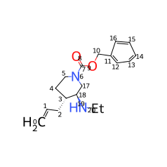 C=CC[C@@H]1CCN(C(=O)OCc2ccccc2)C[C@H]1NCC